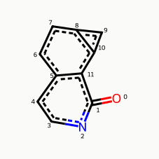 O=c1nccc2ccc3cc3c12